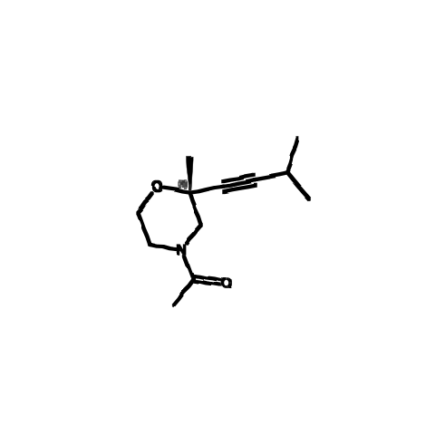 CC(=O)N1CCO[C@](C)(C#CC(C)C)C1